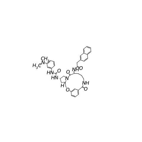 CN(C)c1cccc(NC(=O)N[C@H]2C[C@H]3COc4cccc(c4)C(=O)NCCC[C@H](NC(=O)Cc4ccc5ccccc5c4)C(=O)N3C2)c1